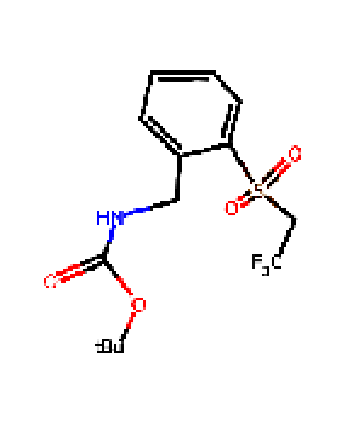 CC(C)(C)OC(=O)NCc1ccccc1S(=O)(=O)CC(F)(F)F